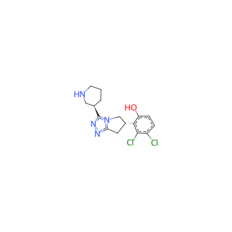 Oc1ccc(Cl)c(Cl)c1[C@@H]1Cc2nnc([C@@H]3CCCNC3)n2C1